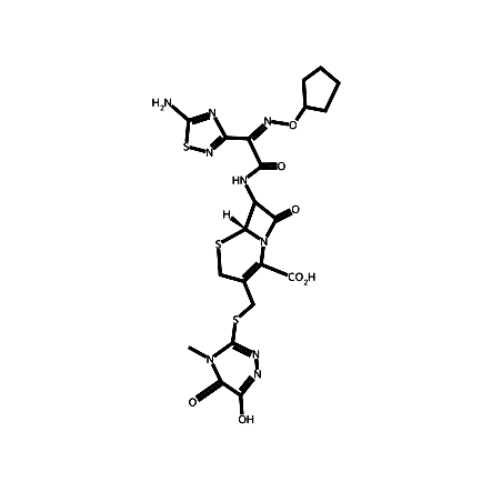 Cn1c(SCC2=C(C(=O)O)N3C(=O)C(NC(=O)/C(=N\OC4CCCC4)c4nsc(N)n4)[C@H]3SC2)nnc(O)c1=O